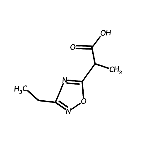 CCc1noc(C(C)C(=O)O)n1